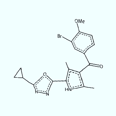 COc1ccc(C(=O)c2c(C)[nH]c(-c3nnc(C4CC4)o3)c2C)cc1Br